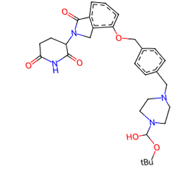 CC(C)(C)OC(O)N1CCN(Cc2ccc(COc3cccc4c3CN(C3CCC(=O)NC3=O)C4=O)cc2)CC1